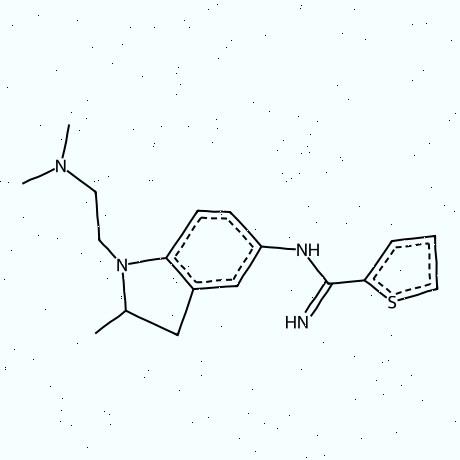 CC1Cc2cc(NC(=N)c3cccs3)ccc2N1CCN(C)C